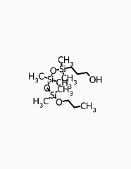 CCCO[Si](C)(C)O[Si](C)(C)O[Si](C)(C)CCCO